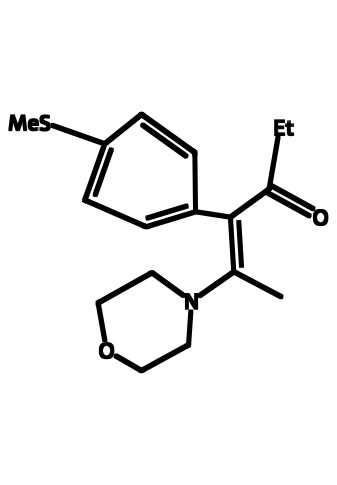 CCC(=O)C(=C(C)N1CCOCC1)c1ccc(SC)cc1